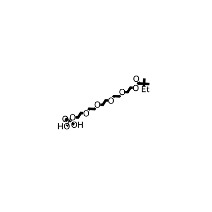 CCC(C)(C)C(=O)OCCOCCOCCOCCOCCOP(=O)(O)O